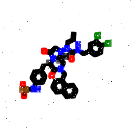 C=CCN(C(=O)NCc1ccc(Cl)c(Cl)c1)N1CC(=O)N2[C@@H](Cc3ccc(N[SH](=O)=O)cc3)C(=O)N(Cc3cccc4ccccc34)C[C@@H]21